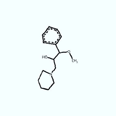 COC(c1ccccc1)C(O)CN1CCCCC1